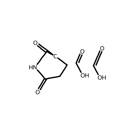 O=C1CCCC(=O)N1.O=CO.O=CO